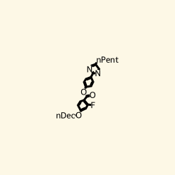 CCCCCCCCCCOc1ccc(C(=O)Oc2ccc(-c3ncc(CCCCC)cn3)cc2)c(F)c1